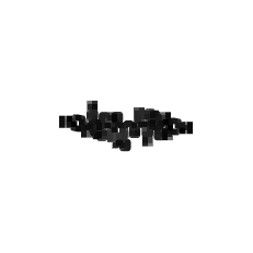 CC(=O)CSC(CC(=O)NC[C@@]12OC[C@@H](O1)[C@H](N1CCNCC1)[C@@H](O)[C@H]2O)C(=O)NC[C@@]12OC[C@@H](O1)[C@H](N1CCNCC1)[C@@H](O)[C@H]2O